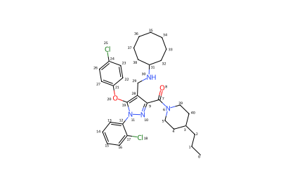 CCCC1CCN(C(=O)c2nn(-c3ccccc3Cl)c(Oc3ccc(Cl)cc3)c2CNC2CCCCCCC2)CC1